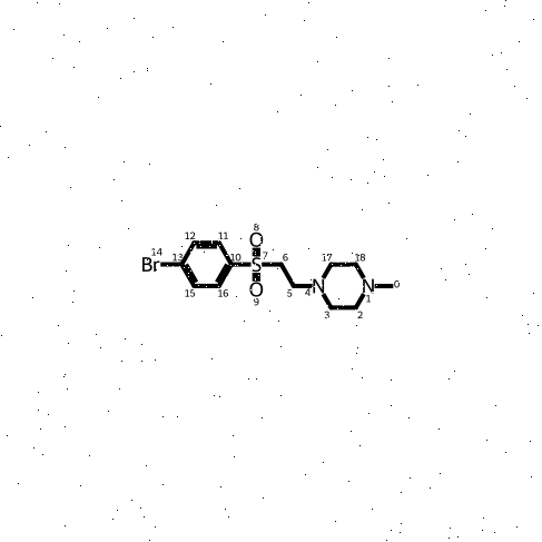 CN1CCN(CCS(=O)(=O)c2ccc(Br)cc2)CC1